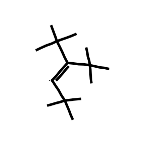 CC(C)(C)[C]=C(C(C)(C)C)C(C)(C)C